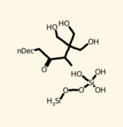 CCCCCCCCCCCC(=O)C(C)C(CO)(CO)CO.O[Si](O)(O)OO[SiH3]